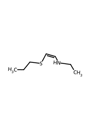 CCCS/C=C\NCC